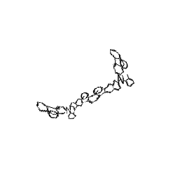 Cc1ccccc1N(c1ccc2cc3c(cc2c1)oc1c3ccc2c3cc4c5cc(cc4cc3oc21)N(c1ccc2c(c1)oc1ccccc12)c1ccccc1-5)c1ccc2c(c1)oc1ccccc12